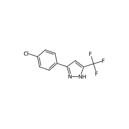 FC(F)(F)c1cc(-c2ccc(Cl)cc2)n[nH]1